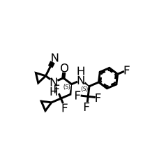 N#CC1(NC(=O)[C@H](CC(F)(F)C2CC2)N[C@@H](c2ccc(F)cc2)C(F)(F)F)CC1